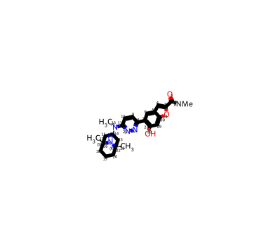 CNC(=O)c1cc2cc(-c3ccc(N(C)[C@H]4C[C@]5(C)CCC[C@](C)(C4)N5)nn3)c(O)cc2o1